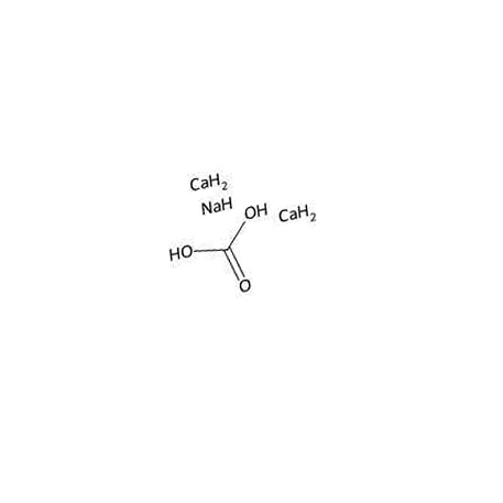 O=C(O)O.[CaH2].[CaH2].[NaH]